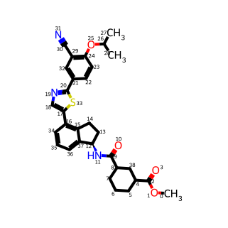 COC(=O)C1CCCC(C(=O)N[C@@H]2CCc3c(-c4cnc(-c5ccc(OC(C)C)c(C#N)c5)s4)cccc32)C1